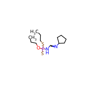 CCCOP(=S)(NC=NC1CCCC1)SCCC